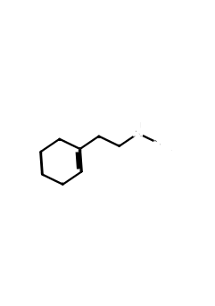 NNCCC1=CCCCC1